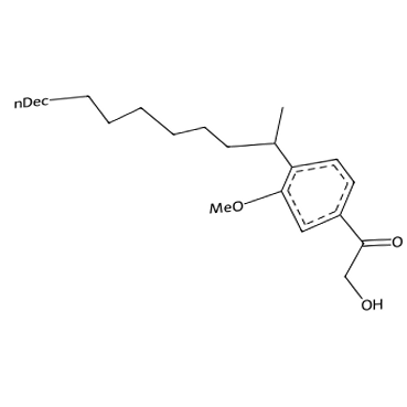 CCCCCCCCCCCCCCCCC(C)c1ccc(C(=O)CO)cc1OC